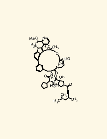 CCn1c(-c2cccnc2[C@H](C)OC)c2c3cc(ccc31)-c1cccc(c1)C[C@H](NC(=O)[C@H](C1CCCC1)N(C)C(=O)[C@@]1(O)CN(C(=O)C#CC(C)CN(C)C)C[C@@H]1C)C(=O)N1CCCC(C=O)(COCC(C)(C)C2)N1